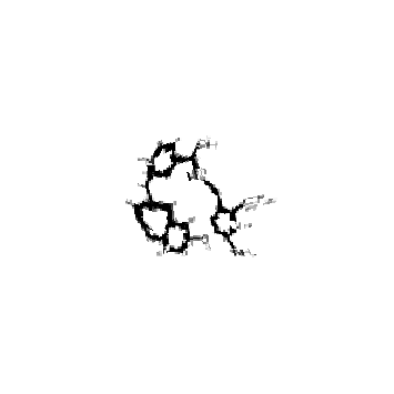 Nc1ccc(CNC(O)c2ccnc(Cc3ccc4ncc(Cl)cc4c3)c2)c(C(F)(F)F)n1